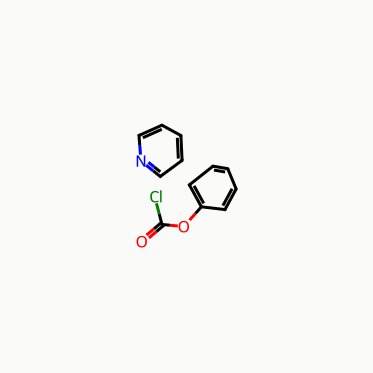 O=C(Cl)Oc1ccccc1.c1ccncc1